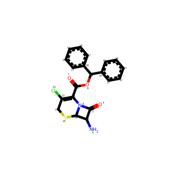 NC1C(=O)N2C(C(=O)OC(c3ccccc3)c3ccccc3)=C(Cl)CSC12